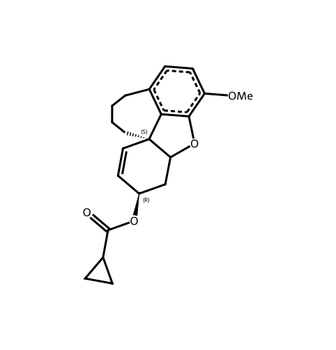 COc1ccc2c3c1OC1C[C@@H](OC(=O)C4CC4)C=C[C@@]31CCCC2